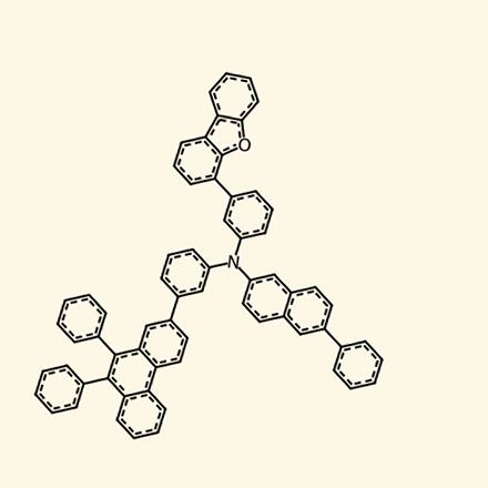 c1ccc(-c2ccc3cc(N(c4cccc(-c5ccc6c(c5)c(-c5ccccc5)c(-c5ccccc5)c5ccccc56)c4)c4cccc(-c5cccc6c5oc5ccccc56)c4)ccc3c2)cc1